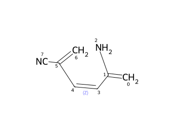 C=C(N)/C=C\C(=C)C#N